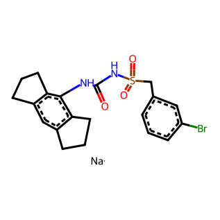 O=C(Nc1c2c(cc3c1CCC3)CCC2)NS(=O)(=O)Cc1cccc(Br)c1.[Na]